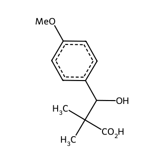 COc1ccc(C(O)C(C)(C)C(=O)O)cc1